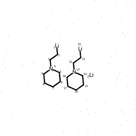 [Li].[Li][CH2]CN1CCCCC1.[Li][CH2]CN1CCCCC1